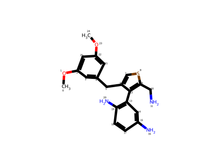 COc1cc(Cc2csc(CN)c2-c2cc(N)ccc2N)cc(OC)c1